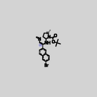 C=N/C=C(\NC1CC[C@H](C)N1C(=O)OC(C)(C)C)c1ccc2cc(Br)ccc2c1